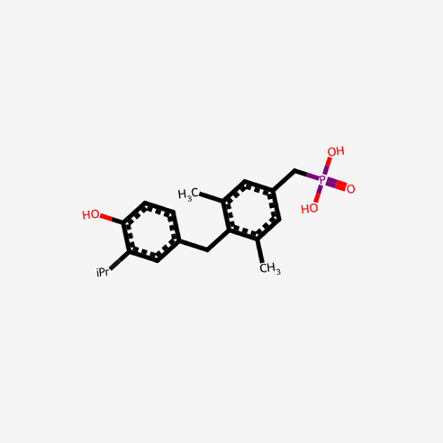 Cc1cc(CP(=O)(O)O)cc(C)c1Cc1ccc(O)c(C(C)C)c1